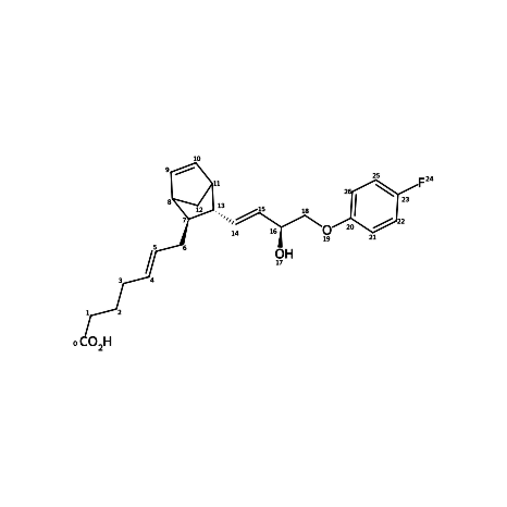 O=C(O)CCC/C=C/C[C@H]1C2C=CC(C2)[C@@H]1/C=C/[C@H](O)COc1ccc(F)cc1